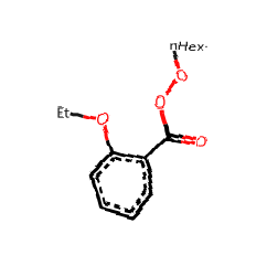 [CH2]CCCC[CH]OOC(=O)c1ccccc1OCC